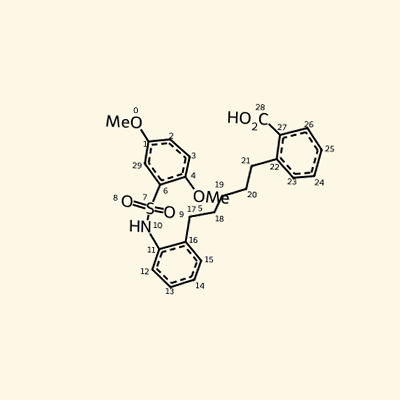 COc1ccc(OC)c(S(=O)(=O)Nc2ccccc2CCCCCc2ccccc2C(=O)O)c1